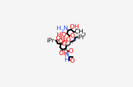 CC(C)/C=C/[C@@H](C[C@@H]1O[C@](O)(C[C@@H](O)C(C)C)C[C@H](O)[C@H]1C(=O)NC1COC1)OC1OC(C)C(O)C(N)C1O